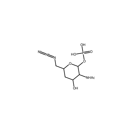 CC(=O)NC1C(O)CC(CN=[N+]=[N-])OC1OP(=O)(O)O